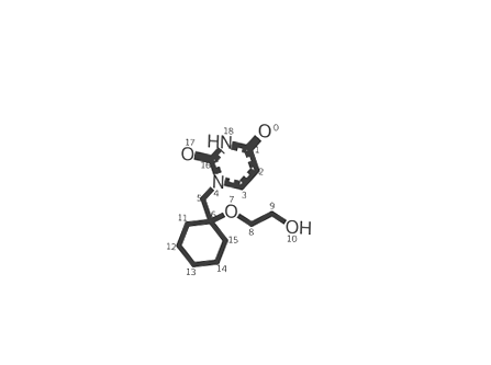 O=c1ccn(CC2(OCCO)CCCCC2)c(=O)[nH]1